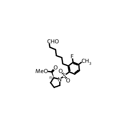 COC(=O)[C@@H]1CCCN1S(=O)(=O)c1ccc(C)c(F)c1CCCCCC=O